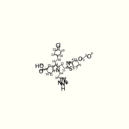 COCCOc1ccc2sc(CCc3c(CCc4ccc(Cl)cc4)c4cc(C(=O)O)ccc4n3CCc3nn[nH]n3)nc2c1